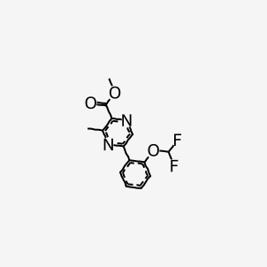 COC(=O)c1ncc(-c2ccccc2OC(F)F)nc1C